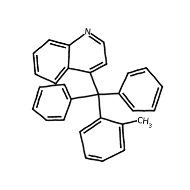 Cc1ccccc1C(c1ccccc1)(c1ccccc1)c1ccnc2ccccc12